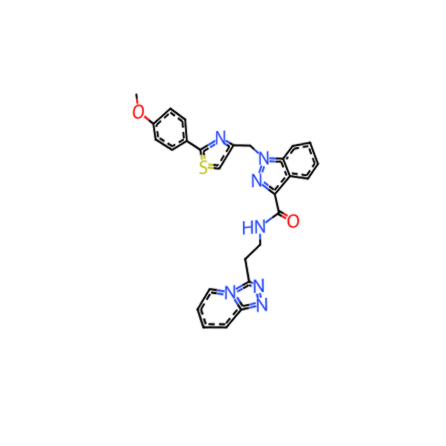 COc1ccc(-c2nc(Cn3nc(C(=O)NCCc4nnc5ccccn45)c4ccccc43)cs2)cc1